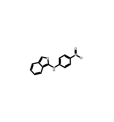 O=[N+]([O-])c1ccc(Nc2occ3ccccc23)cc1